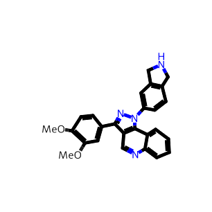 COc1ccc(-c2nn(-c3ccc4c(c3)CNC4)c3c2cnc2ccccc23)cc1OC